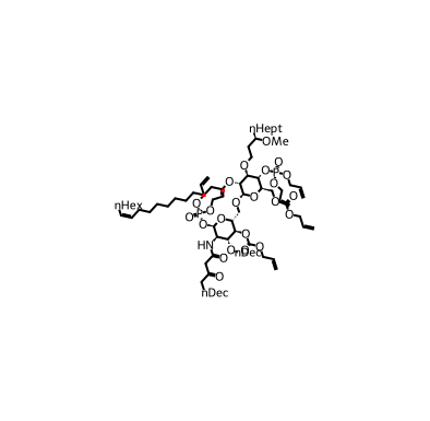 C=CCOC(=O)OC[C@H]1O[C@@H](OC[C@H]2O[C@H](OP(=O)(OCC=C)OCC=C)[C@H](NC(=O)CC(=O)CCCCCCCCCCC)[C@@H](OCCCCCCCCCC)[C@@H]2OC(=O)OCC=C)[C@H](OCCCCCCCCCC/C=C\CCCCCC)[C@@H](OCC[C@@H](CCCCCCC)OC)[C@@H]1OP(=O)(OCC=C)OCC=C